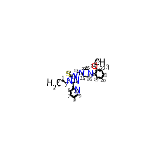 C=CCn1c(-c2ccccn2)nn(CN2CCN(c3ccccc3OC)CC2)c1=S